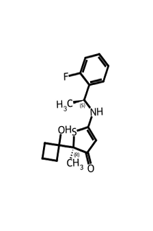 C[C@H](NC1=CC(=O)[C@@](C)(C2(O)CCC2)S1)c1ccccc1F